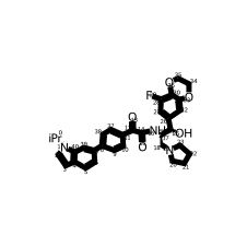 CC(C)n1ccc2ccc(-c3ccc(C(=O)C(=O)N[C@H](CN4CCCC4)[C@H](O)c4cc(F)c5c(c4)OCCO5)cc3)cc21